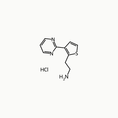 Cl.NCCc1sccc1-c1ncccn1